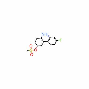 CS(=O)(=O)OC1CCC(N)C(c2ccc(F)cc2)C1